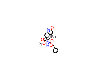 CC(C)OC(=O)C(CC(C)(C)C)(NC(=O)OCc1ccccc1)C1(C)C=Cc2c(ccc(=O)n2C)C1